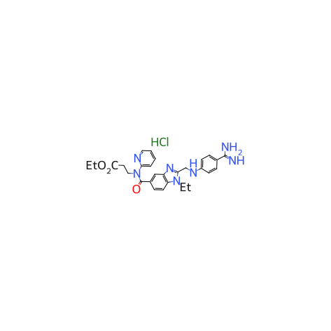 CCOC(=O)CCN(C(=O)c1ccc2c(c1)nc(CNc1ccc(C(=N)N)cc1)n2CC)c1ccccn1.Cl